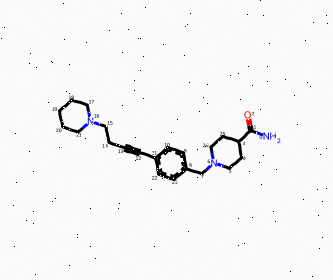 NC(=O)C1CCN(Cc2ccc(C#CCCN3CCCCC3)cc2)CC1